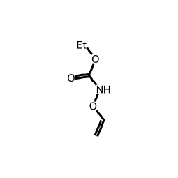 C=CONC(=O)OCC